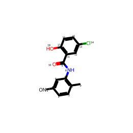 Cc1ccc(N=O)cc1NC(=O)c1cc(Cl)ccc1O